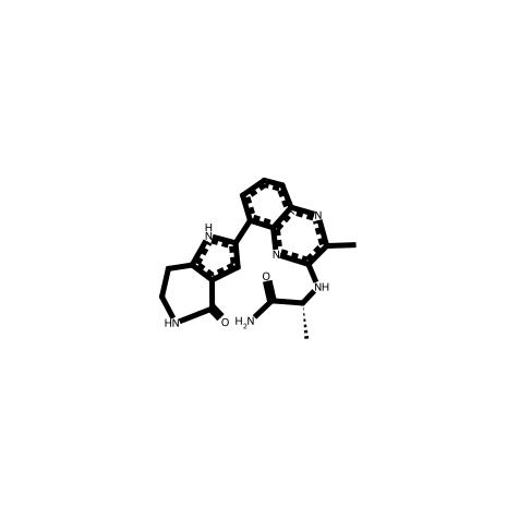 Cc1nc2cccc(-c3cc4c([nH]3)CCNC4=O)c2nc1N[C@H](C)C(N)=O